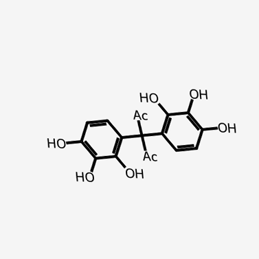 CC(=O)C(C(C)=O)(c1ccc(O)c(O)c1O)c1ccc(O)c(O)c1O